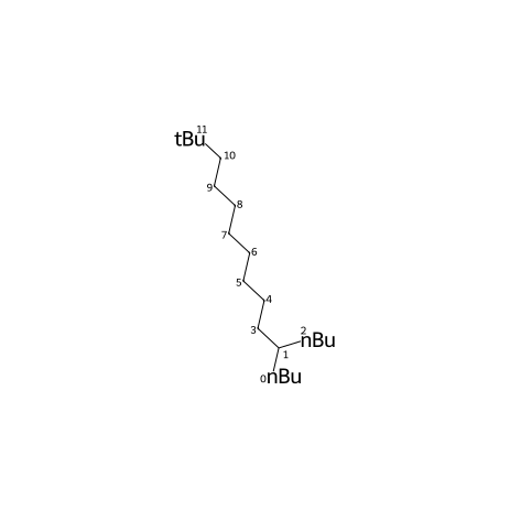 CCCCC(CCCC)CCCCCCCCC(C)(C)C